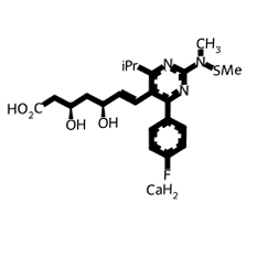 CSN(C)c1nc(-c2ccc(F)cc2)c(C=C[C@@H](O)C[C@@H](O)CC(=O)O)c(C(C)C)n1.[CaH2]